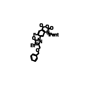 CCC[C@H](C)n1c(=O)oc(=O)c2cc(F)c(-n3nc(COCc4ccccc4)n(CC)c3=O)cc21